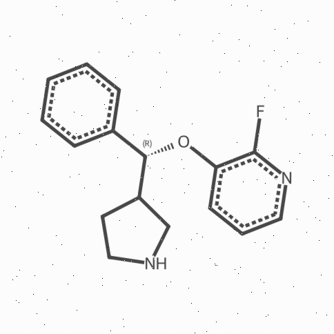 Fc1ncccc1O[C@@H](c1ccccc1)C1CCNC1